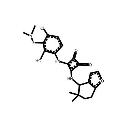 CN(C)Sc1c(Cl)ccc(Nc2c(NC3c4ccoc4CCC3(C)C)c(=O)c2=O)c1O